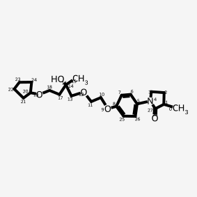 CC1CCN(c2ccc(OCCOCC(C)(O)CCOC3CCCC3)cc2)C1=O